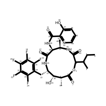 CCC(C)C1OC(=O)[C@H](C)[C@H](O)[C@H](Cc2c(F)c(F)c(F)c(F)c2F)NC(=O)[C@@H](NC(=O)c2ncccc2O)[C@@H](C)NC1=O